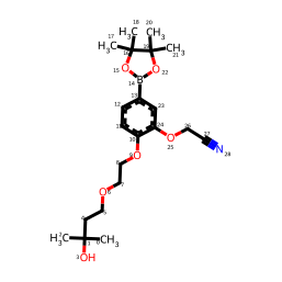 CC(C)(O)CCOCCOc1ccc(B2OC(C)(C)C(C)(C)O2)cc1OCC#N